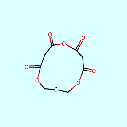 O=C1CC(=O)OC(=O)CC(=O)OCCCO1